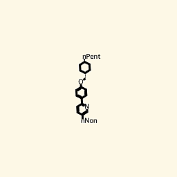 CCCCCCCCCc1ccc(-c2ccc(OC[C@H]3CC[C@H](CCCCC)CC3)cc2)nc1